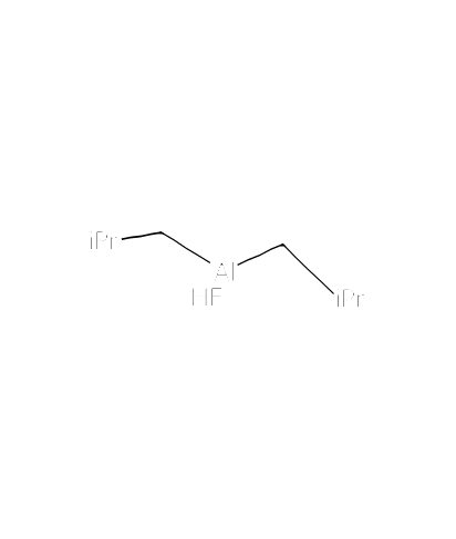 CC(C)[CH2][Al][CH2]C(C)C.F